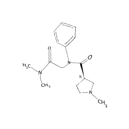 CN1CC[C@@H](C(=O)N(CC(=O)N(C)C)c2cc[c]cc2)C1